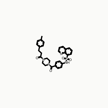 Cc1ccc(CCC(=O)N2CCN(C(=O)c3ccc(NS(=O)(=O)c4cccc5cccnc45)cc3)CC2)cc1